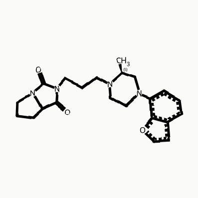 C[C@H]1CN(c2cccc3ccoc23)CCN1CCCN1C(=O)C2CCCN2C1=O